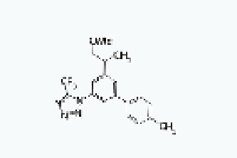 COCC(C)c1cc(-c2ccc(C)cc2)cc(-n2nnnc2C(F)(F)F)c1